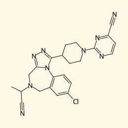 CC(C#N)N1Cc2cc(Cl)ccc2-n2c(nnc2C2CCN(c3nccc(C#N)n3)CC2)C1